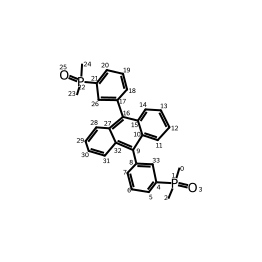 CP(C)(=O)c1cccc(-c2c3ccccc3c(-c3cccc(P(C)(C)=O)c3)c3ccccc23)c1